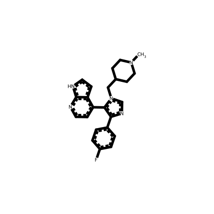 CN1CCC(Cn2cnc(-c3ccc(F)cc3)c2-c2ccnc3[nH]ccc23)CC1